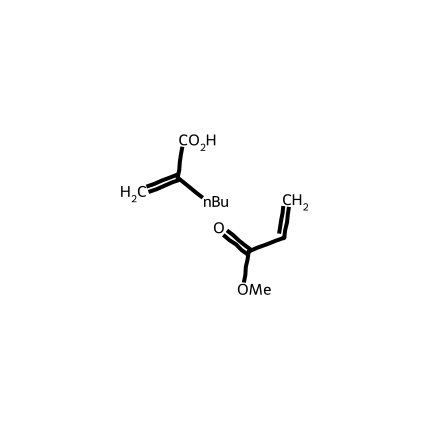 C=C(CCCC)C(=O)O.C=CC(=O)OC